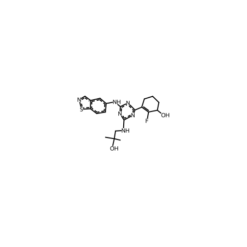 CC(C)(O)CNc1nc(Nc2ccc3sncc3c2)nc(C2=C(F)C(O)CCC2)n1